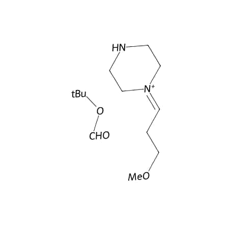 CC(C)(C)OC=O.COCCC=[N+]1CCNCC1